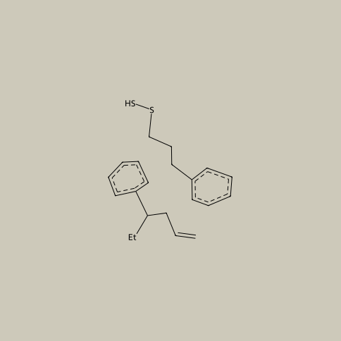 C=CCC(CC)c1ccccc1.SSCCCc1ccccc1